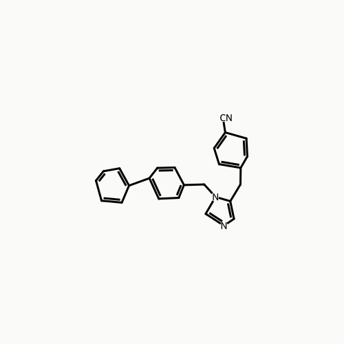 N#Cc1ccc(Cc2cncn2Cc2ccc(-c3ccccc3)cc2)cc1